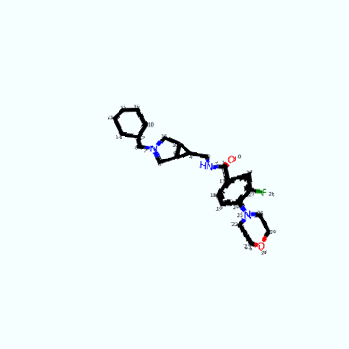 O=C(NCC1C2CN(CC3CCCCC3)CC12)c1ccc(N2CCOCC2)c(F)c1